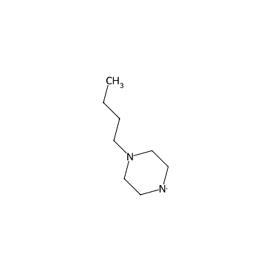 CCCCN1CC[N]CC1